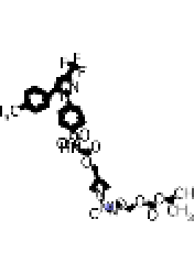 Cc1ccc(-c2cc(C(F)(F)F)nn2-c2ccc(S(=O)(=O)NC(=O)OCC3CN(/[N+]([O-])=N\OCOC(=O)OC(C)C)C3)cc2)cc1